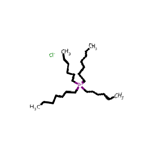 CCCCCCC[P+](CCCCCC)(CCCCCC)CCCCCCC.[Cl-]